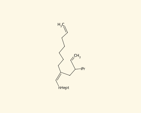 C=CCCCCCC(=CCCCCCCC)CC(C=C)C(C)C